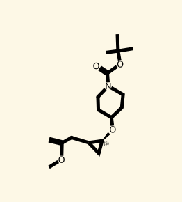 C=C(CC1C[C@@H]1OC1CCN(C(=O)OC(C)(C)C)CC1)OC